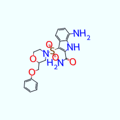 NC(=O)c1[nH]c2c(N)cccc2c1S(=O)(=O)N1CCOC(COc2ccccc2)C1